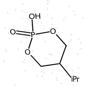 CC(C)C1COP(=O)(O)OC1